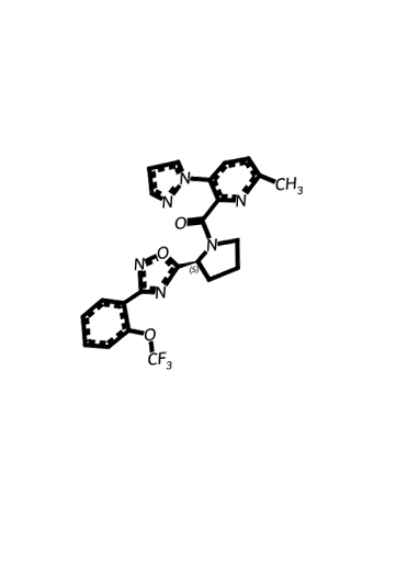 Cc1ccc(-n2cccn2)c(C(=O)N2CCC[C@H]2c2nc(-c3ccccc3OC(F)(F)F)no2)n1